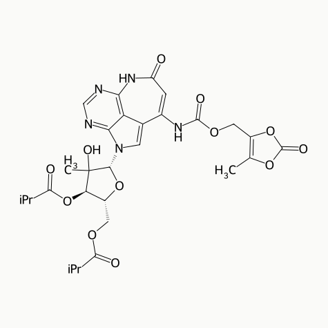 Cc1oc(=O)oc1COC(=O)NC1=CC(=O)Nc2ncnc3c2c1cn3[C@@H]1O[C@H](COC(=O)C(C)C)[C@@H](OC(=O)C(C)C)C1(C)O